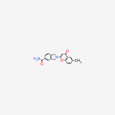 Cc1ccc2oc(N3Cc4ccc(C(N)=O)cc4C3)cc(=O)c2c1